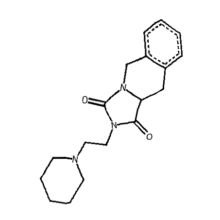 O=C1C2Cc3ccccc3CN2C(=O)N1CCN1CCCCC1